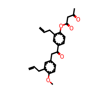 C=CCc1cc(CC(=O)c2ccc(OC(=O)CC(C)=O)c(CC=C)c2)ccc1OC